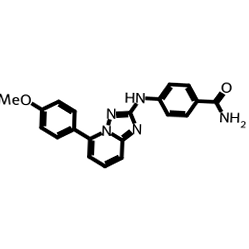 COc1ccc(-c2cccc3nc(Nc4ccc(C(N)=O)cc4)nn23)cc1